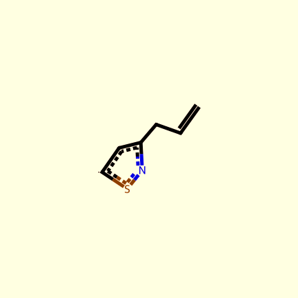 C=CCc1c[c]sn1